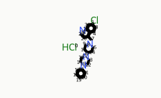 Cl.Clc1ccc2c(CN3CCC(N4CCN(c5ccccc5)CC4)CC3)ccnc2c1